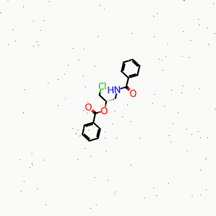 O=C(NC[C@@H](CCl)OC(=O)c1ccccc1)c1ccccc1